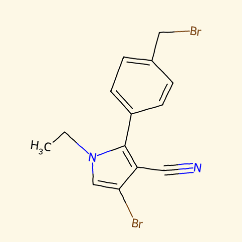 CCn1cc(Br)c(C#N)c1-c1ccc(CBr)cc1